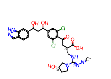 [C-]#[N+]/N=C(\NC[C@H](CC(=O)c1c(Cl)cc(C(O)CC(O)c2ccc3cn[nH]c3c2)cc1Cl)C(=O)O)N1CC[C@H](O)C1